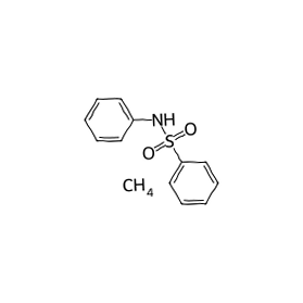 C.O=S(=O)(Nc1ccccc1)c1ccccc1